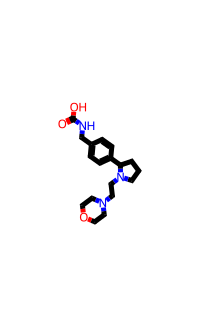 O=C(O)NCc1ccc(C2CCCN2CCN2CCOCC2)cc1